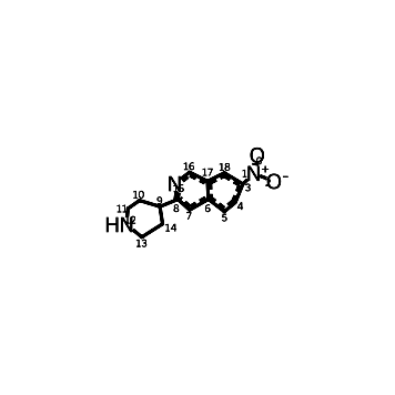 O=[N+]([O-])c1ccc2cc(C3CCNCC3)ncc2c1